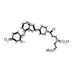 COCCN(CCC(=O)N1CC=C(c2cc3nccc(Oc4ccc([N+](=O)[O-])cc4F)c3s2)CC1)C(=O)O